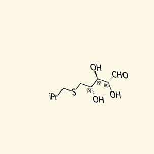 CC(C)CSC[C@@H](O)[C@@H](O)[C@@H](O)C=O